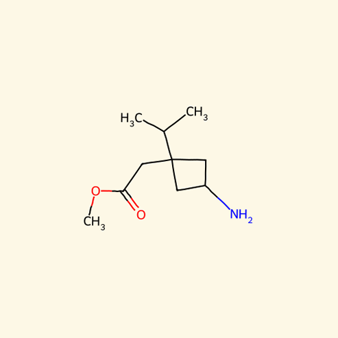 COC(=O)CC1(C(C)C)CC(N)C1